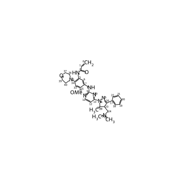 C=CC(=O)Nc1cc(Nc2nccc(N3N=C(c4ccccc4)C(CN(C)C)C3C)n2)c(OC)cc1N1CCOCC1